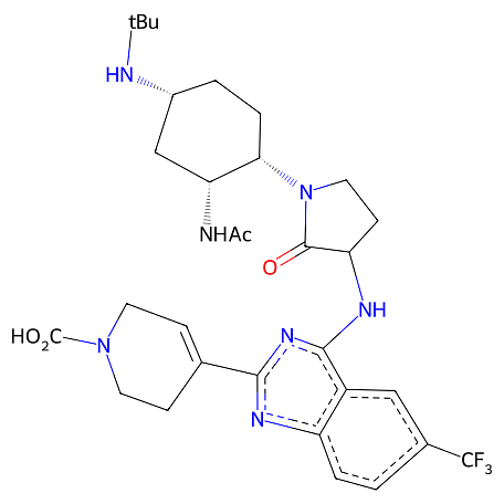 CC(=O)N[C@@H]1C[C@H](NC(C)(C)C)CC[C@@H]1N1CCC(Nc2nc(C3=CCN(C(=O)O)CC3)nc3ccc(C(F)(F)F)cc23)C1=O